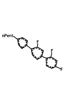 CCCCCc1ccc(-c2ccc(-c3ccc(F)cc3F)cc2F)cc1